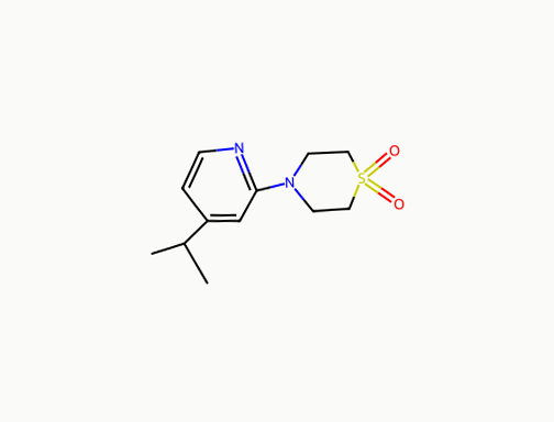 CC(C)c1ccnc(N2CCS(=O)(=O)CC2)c1